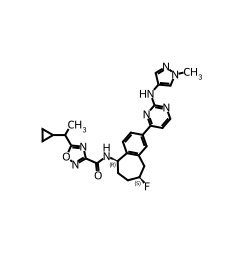 CC(c1nc(C(=O)N[C@@H]2CC[C@H](F)Cc3cc(-c4ccnc(Nc5cnn(C)c5)n4)ccc32)no1)C1CC1